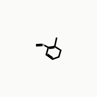 C=NC1=C(C)CCC=C1